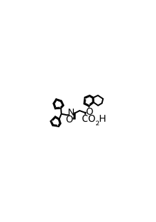 O=C(O)C(Cc1coc(C(c2ccccc2)c2ccccc2)n1)Oc1cccc2c1CCCC2